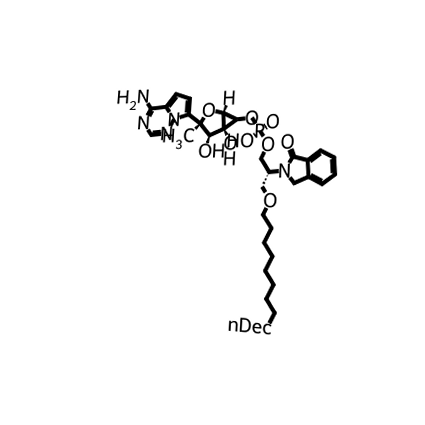 CCCCCCCCCCCCCCCCCCOC[C@H](COP(=O)(O)OC1[C@H]2O[C@@](C)(c3ccc4c(N)ncnn34)[C@H](O)[C@@]12O)N1Cc2ccccc2C1=O